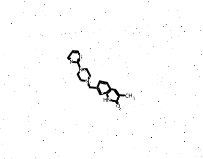 Cc1cc2ccc(CN3CCN(c4ncccn4)CC3)cc2[nH]c1=O